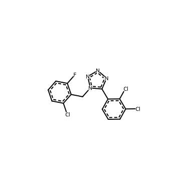 Fc1cccc(Cl)c1Cn1nnnc1-c1cccc(Cl)c1Cl